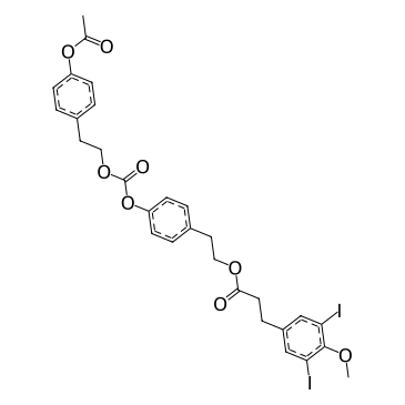 COc1c(I)cc(CCC(=O)OCCc2ccc(OC(=O)OCCc3ccc(OC(C)=O)cc3)cc2)cc1I